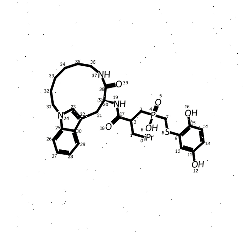 CC(C)CC(CP(=O)(O)CSc1cc(O)ccc1O)C(=O)N[C@H]1Cc2cn(c3ccccc23)CCCCCCNC1=O